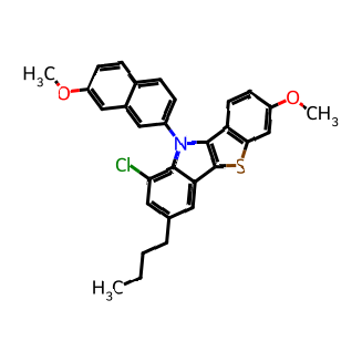 CCCCc1cc(Cl)c2c(c1)c1sc3cc(OC)ccc3c1n2-c1ccc2ccc(OC)cc2c1